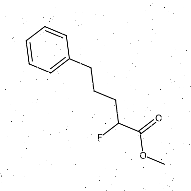 COC(=O)C(F)CCCc1ccccc1